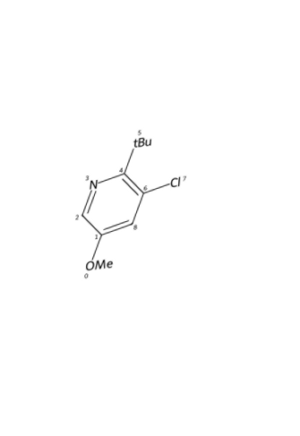 COc1cnc(C(C)(C)C)c(Cl)c1